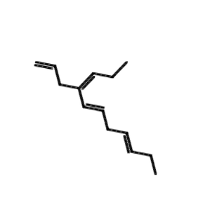 C=CCC(C=CCC=CCC)=CCC